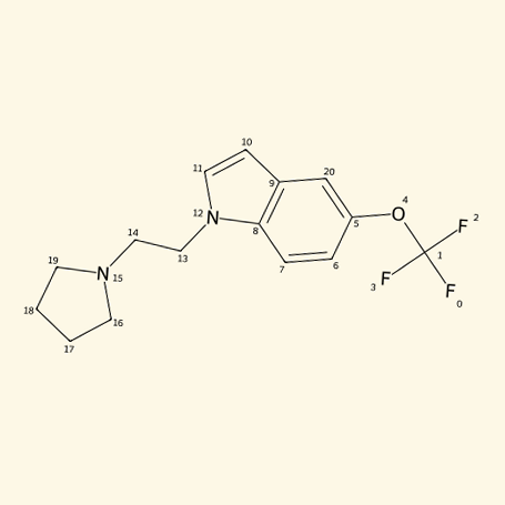 FC(F)(F)Oc1ccc2c(ccn2CCN2CCCC2)c1